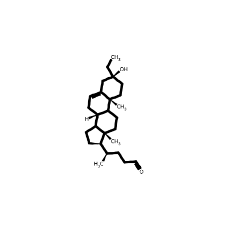 CC[C@]1(O)CC[C@@]2(C)C(=CC[C@@H]3C2CC[C@@]2(C)C3CC[C@@H]2[C@H](C)CCC=O)C1